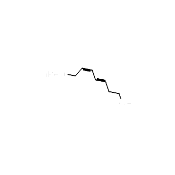 CCCCCC/C=C\C=C\CCO